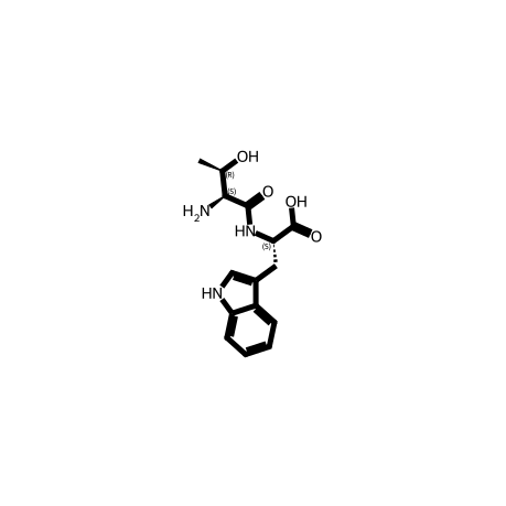 C[C@@H](O)[C@H](N)C(=O)N[C@@H](Cc1c[nH]c2ccccc12)C(=O)O